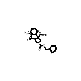 COC(=O)C1CN(C(=O)OCc2ccccc2)CC1(C(=O)O)c1c(F)cccc1F